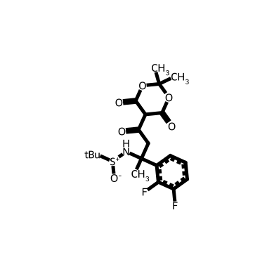 CC1(C)OC(=O)C(C(=O)CC(C)(N[S+]([O-])C(C)(C)C)c2cccc(F)c2F)C(=O)O1